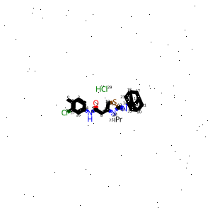 Cc1ccc(NC(=O)CC2CS/C(=N\C34CC5CC(CC(C5)C3)C4)N2C(C)C)cc1Cl.Cl